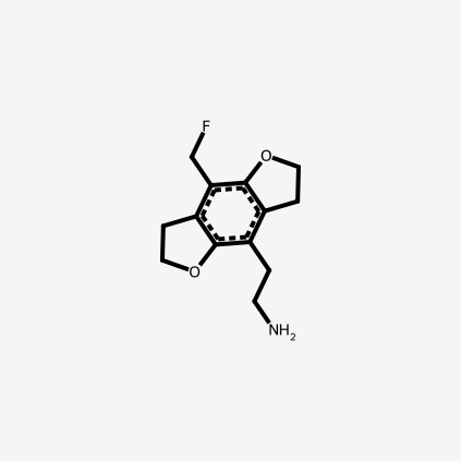 NCCc1c2c(c(CF)c3c1OCC3)OCC2